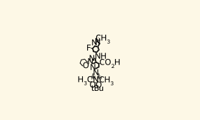 C[C@H]1CN(c2cc(C(=O)O)c3c(Nc4cc(F)c5nn(C)cc5c4)nn(C4CCCCO4)c3n2)C[C@H](C)N1C(=O)OC(C)(C)C